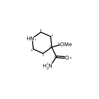 COC1(C(N)=O)CCNCC1